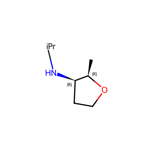 CC(C)N[C@@H]1CCO[C@@H]1C